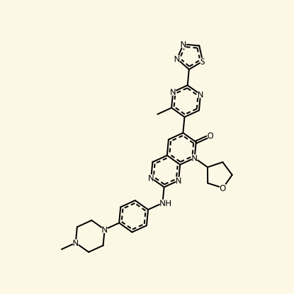 Cc1nc(-c2nncs2)ncc1-c1cc2cnc(Nc3ccc(N4CCN(C)CC4)cc3)nc2n(C2CCOC2)c1=O